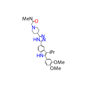 CNC(=O)CN1CCC(c2nnc(-c3ccc4[nH]c(-c5ccc(OC)c(OC)c5)c(C(C)C)c4c3)[nH]2)CC1